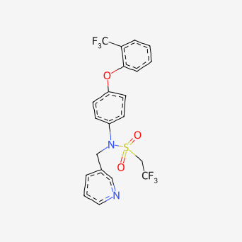 O=S(=O)(CC(F)(F)F)N(Cc1cccnc1)c1ccc(Oc2ccccc2C(F)(F)F)cc1